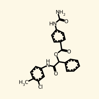 Cc1ccc(NC(=O)C(OC(=O)c2ccc(NC(N)=O)cc2)c2ccccc2)cc1Cl